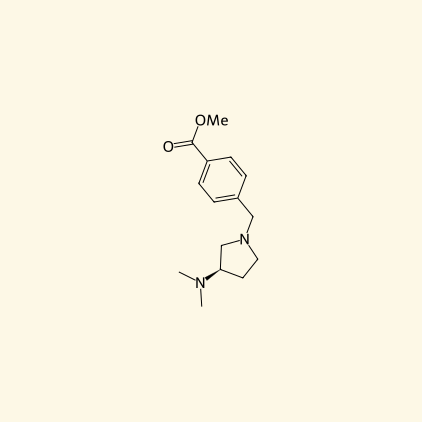 COC(=O)c1ccc(CN2CC[C@@H](N(C)C)C2)cc1